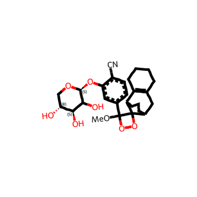 COC1(c2ccc(C#N)c(O[C@@H]3OC[C@@H](O)[C@H](O)C3O)c2)OOC12C1CCCC2C2=C(CCCC2)C1